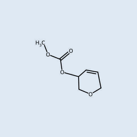 COC(=O)OC1C=CCOC1